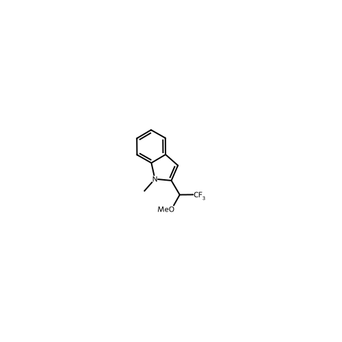 COC(c1cc2ccccc2n1C)C(F)(F)F